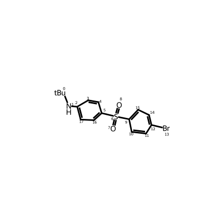 CC(C)(C)Nc1ccc(S(=O)(=O)c2ccc(Br)cc2)cc1